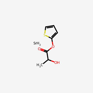 CC(O)C(=O)Oc1cccs1.[SrH2]